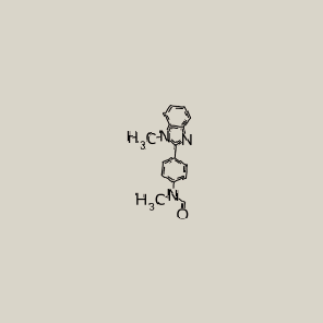 CN(C=O)c1ccc(-c2nc3ccccc3n2C)cc1